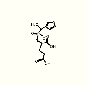 CC(c1ccsc1)P(=O)(O)NC(CCC(=O)O)C(=O)O